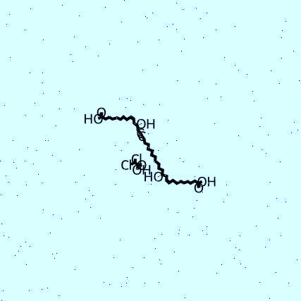 O=C(O)C(Cl)Cl.O=C(O)CCCCCCC/C=C\C[C@H](O)CCCCCCCCCCCCCC[C@@H](O)C/C=C\CCCCCCCC(=O)O